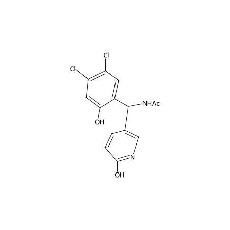 CC(=O)NC(c1ccc(O)nc1)c1cc(Cl)c(Cl)cc1O